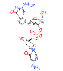 Nc1cc(=O)n([C@H]2CC(O)[C@@H](COP(=O)(O)OC3C[C@H](n4cnc5c(=O)[nH]c(N)nc54)O[C@@H]3CO)O2)cn1